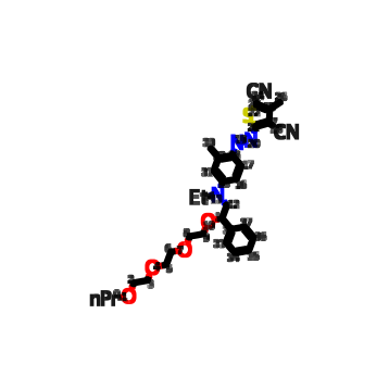 CCCOCCOCCOCCOC(CN(CC)c1ccc(/N=N/c2sc(C#N)c(C)c2C#N)c(C)c1)c1ccccc1